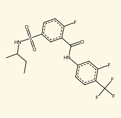 CCC(C)NS(=O)(=O)c1ccc(F)c(C(=O)Nc2ccc(C(F)(F)F)c(F)c2)c1